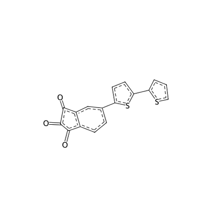 O=c1c(=O)c2ccc(-c3ccc(-c4cccs4)s3)cc2c1=O